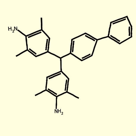 Cc1cc(C(c2ccc(-c3ccccc3)cc2)c2cc(C)c(N)c(C)c2)cc(C)c1N